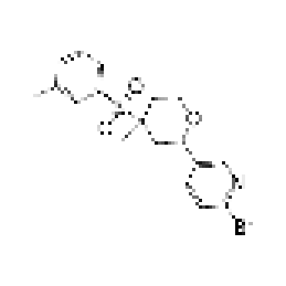 Cc1cccc(S(=O)(=O)C2(C)CCOC(c3ccc(Br)nc3)C2)c1